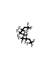 [O]=[Sn]([C](F)(F)C(F)(F)CC(F)(F)F)[C](F)(F)C(F)(F)CC(F)(F)F